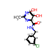 Cc1nc(O)c(O)c(C(=O)NCc2cccc(Cl)c2)n1